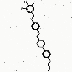 CCCCc1ccc(C2CCC(CCc3ccc(CCc4cc(F)c(Cl)c(F)c4)cc3)CC2)cc1